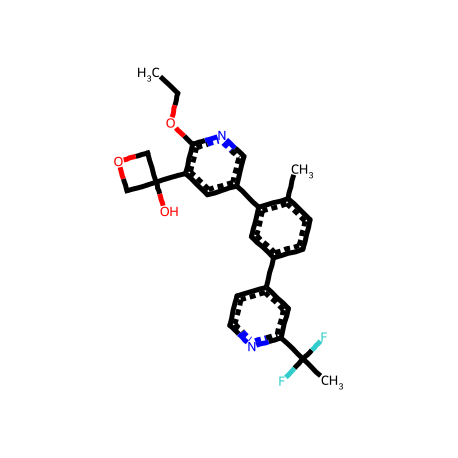 CCOc1ncc(-c2cc(-c3ccnc(C(C)(F)F)c3)ccc2C)cc1C1(O)COC1